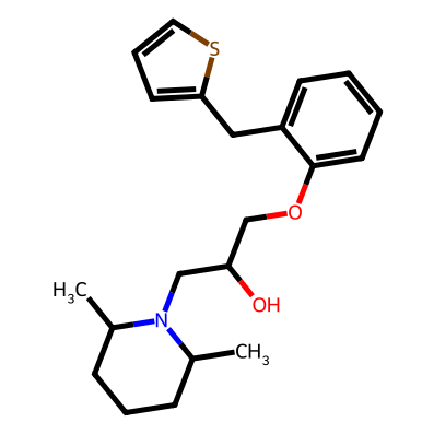 CC1CCCC(C)N1CC(O)COc1ccccc1Cc1cccs1